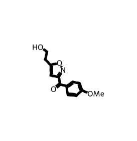 COc1ccc(C(=O)c2cc(CCO)on2)cc1